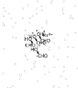 O=[C-]O.O=[C-]O.O=[C-]O.O=[C-]O.[Ru+4]